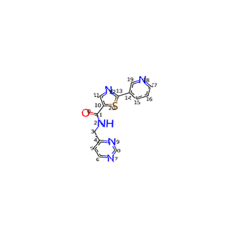 O=C(NCc1ccncn1)c1cnc(-c2cccnc2)s1